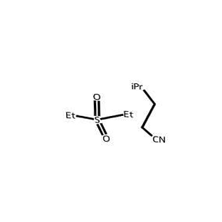 CC(C)CCC#N.CCS(=O)(=O)CC